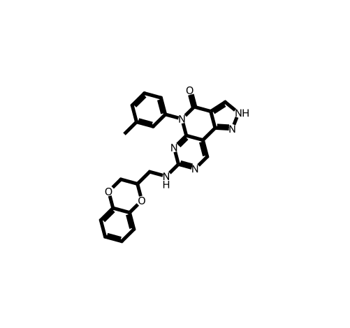 Cc1cccc(-n2c(=O)c3c[nH]nc3c3cnc(NCC4COc5ccccc5O4)nc32)c1